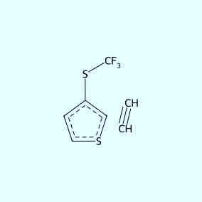 C#C.FC(F)(F)Sc1ccsc1